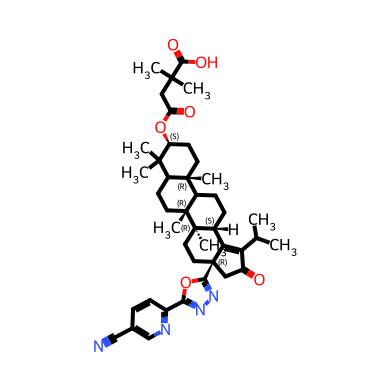 CC(C)C1=C2[C@H]3CCC4[C@@]5(C)CC[C@H](OC(=O)CC(C)(C)C(=O)O)C(C)(C)C5CC[C@@]4(C)[C@]3(C)CC[C@@]2(c2nnc(-c3ccc(C#N)cn3)o2)CC1=O